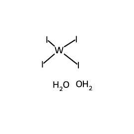 O.O.[I][W]([I])([I])[I]